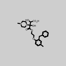 Cc1ccc(OCCOC(=O)C(O)(C(O)C(=O)O)N2CCN(C)CC2)c(Cc2ccccc2)c1